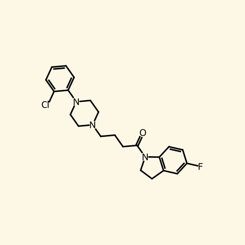 O=C(CCCN1CCN(c2ccccc2Cl)CC1)N1CCc2cc(F)ccc21